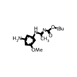 COc1cc(N)cc(N/C(C)=N/C(=O)OC(C)(C)C)c1